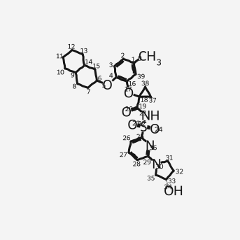 Cc1ccc(OC2CCC3CCCCC3C2)c(OC2(C(=O)NS(=O)(=O)c3cccc(N4CC[C@H](O)C4)n3)CC2)c1